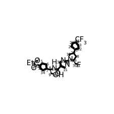 CCS(=O)(=O)c1ccc([C@H](CO)NC(=O)c2cnc(N3CC(c4ccc(C(F)(F)F)cc4)C[C@H]3CF)nc2)cc1